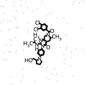 CC(C)Nc1nc2c(c(=O)n1-c1ccc(N3CCCC3CO)cc1)C[C@@H](C)N(C(=O)c1ccc(Cl)c(Cl)c1)C2